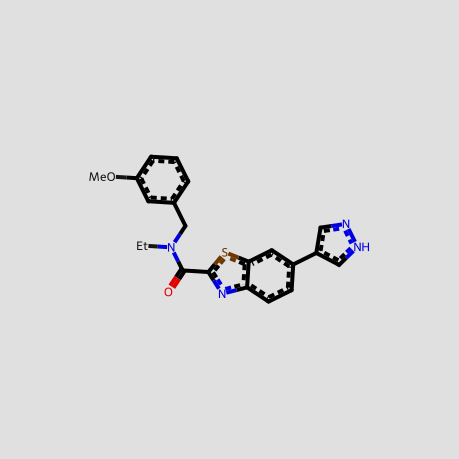 CCN(Cc1cccc(OC)c1)C(=O)c1nc2ccc(-c3cn[nH]c3)cc2s1